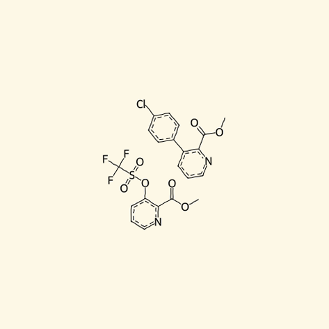 COC(=O)c1ncccc1-c1ccc(Cl)cc1.COC(=O)c1ncccc1OS(=O)(=O)C(F)(F)F